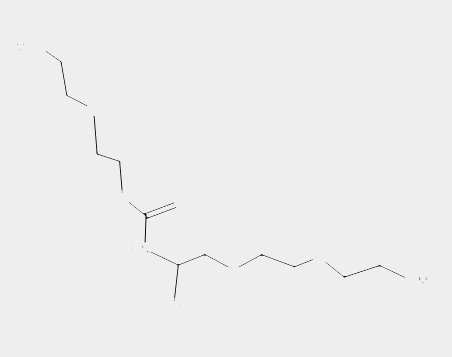 COCCOCCOC(=O)NC(CSCCOCCOC)C(=O)O